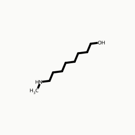 CNCCCCCCCCO